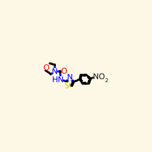 O=C(Nc1nc(-c2ccc([N+](=O)[O-])cc2)cs1)N1CCOCC1